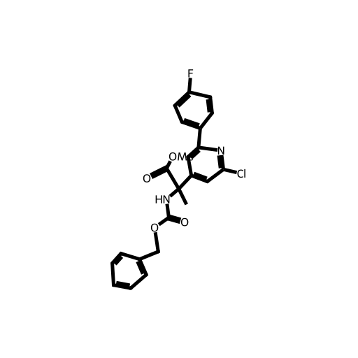 COC(=O)C(C)(NC(=O)OCc1ccccc1)c1cc(Cl)nc(-c2ccc(F)cc2)c1